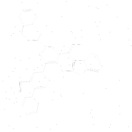 C/C=C(/c1nc(-c2ccc3ccccc3c2)nc(-c2ccc3c(ccc4ccccc43)c2)n1)c1c(N)oc2ccccc12